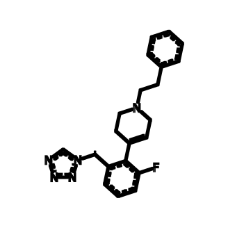 Fc1cccc([CH]n2cnnn2)c1C1=CCN(CCc2ccccc2)CC1